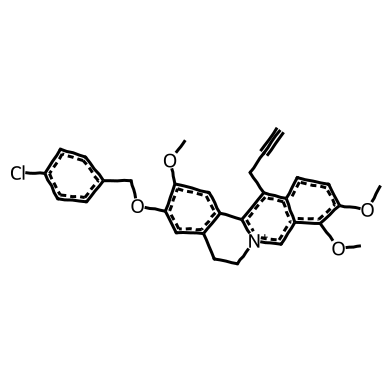 C#CCc1c2[n+](cc3c(OC)c(OC)ccc13)CCc1cc(OCc3ccc(Cl)cc3)c(OC)cc1-2